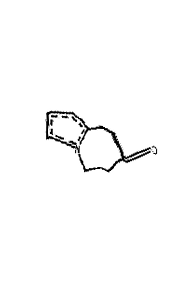 O=C1CCn2cccc2C1